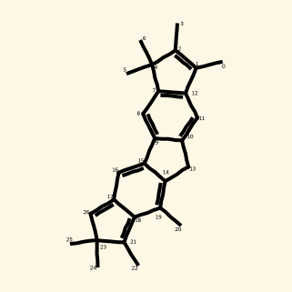 CC1=C(C)C(C)(C)c2cc3c(cc21)Cc1c-3cc2c(c1C)=C(C)C(C)(C)C=2